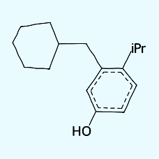 CC(C)c1ccc(O)cc1CC1CCCCC1